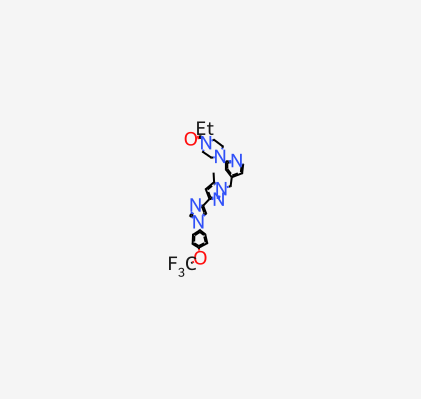 CCC(=O)N1CCN(c2cc(Cn3nc(-c4cn(-c5ccc(OC(F)(F)F)cc5)cn4)cc3C)ccn2)CC1